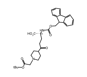 CC(C)(C)OC(=O)CN1CCC(C(=O)CC[C@@H](NC(=O)OCC2c3ccccc3-c3ccccc32)C(=O)O)CC1